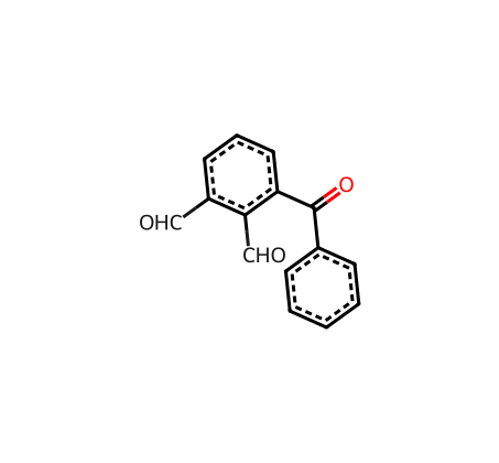 O=Cc1cccc(C(=O)c2ccccc2)c1C=O